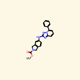 CC(C)(C)OC(=O)N1Cc2ccc(Nc3nc4cccc(-c5ccccc5)n4n3)cc2C1